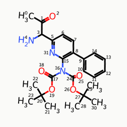 CC(=O)C(N)c1ccc(-c2ccccc2)c(N(C(=O)OC(C)(C)C)C(=O)OC(C)(C)C)n1